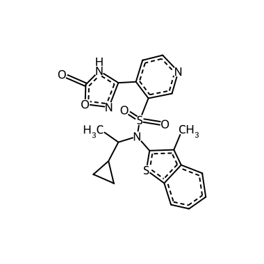 Cc1c(N(C(C)C2CC2)S(=O)(=O)c2cnccc2-c2noc(=O)[nH]2)sc2ccccc12